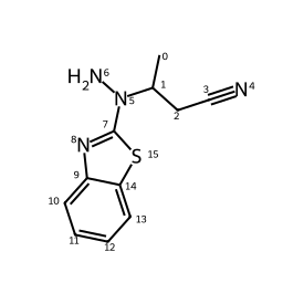 CC(CC#N)N(N)c1nc2ccccc2s1